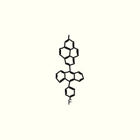 Cc1cc2ccc3cc(-c4c5ccccc5c(-c5ccc(F)cc5)c5ccccc45)cc4ccc(c1)c2c34